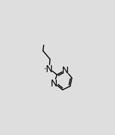 CCC[N]c1ncccn1